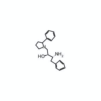 N[C@H](Cc1ccccc1)[C@@H](O)CN1CCCC1c1ccccc1